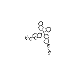 c1ccc2c(c1)-c1c(ccc3ccccc13)C2(c1ccc2cc(OCC3CS3)ccc2c1)c1ccc2cc(OC3CCS3)ccc2c1